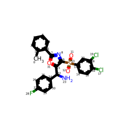 Cc1ccccc1-c1nc(S(=O)(=O)c2ccc(Cl)c(Cl)c2)c(C(N)c2ccc(F)cc2)o1